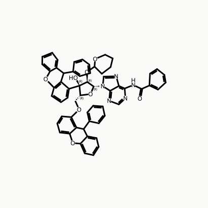 O=C(Nc1ncnc2c1ncn2[C@@H]1O[C@H](COc2cccc3c2C(c2ccccc2)c2ccccc2O3)[C@](O)(c2cccc3c2C(c2ccccc2)c2ccccc2O3)[C@H]1OC1CCCCO1)c1ccccc1